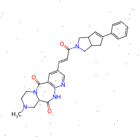 CN1CCN2C(=O)c3cc(/C=C/C(=O)N4CC5C=C(c6ccccc6)CC5C4)cnc3NC(=O)C2C1